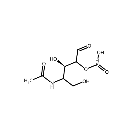 CC(=O)NC(CO)[C@@H](O)C(C=O)O[PH](=O)O